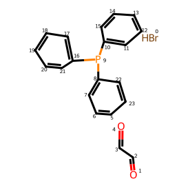 Br.O=CC=O.c1ccc(P(c2ccccc2)c2ccccc2)cc1